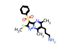 CSc1nn2c(C)c(CCCN)c(C)nc2c1S(=O)(=O)c1ccccc1